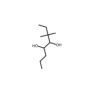 CCCC(O)C(O)C(C)(C)CC